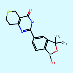 CC1(C)OB(O)c2ccc(-c3nc4c(c(=O)[nH]3)CSCC4)cc21